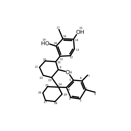 Cc1ccc2c(c1C)OC1C(c3ccc(O)c(C)c3O)CCCC1C21CCCCC1